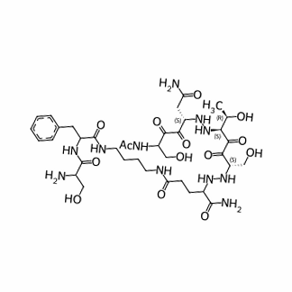 CC(=O)NC(CO)C(=O)C(=O)[C@H](CC(N)=O)NN[C@H](C(=O)C(=O)[C@H](CO)NNC(CCC(=O)NCCCCNC(=O)C(Cc1ccccc1)NC(=O)C(N)CO)C(N)=O)[C@@H](C)O